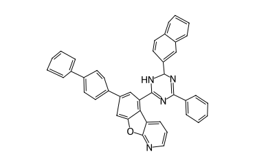 c1ccc(C2=NC(c3ccc4ccccc4c3)NC(c3cc(-c4ccc(-c5ccccc5)cc4)cc4oc5ncccc5c34)=N2)cc1